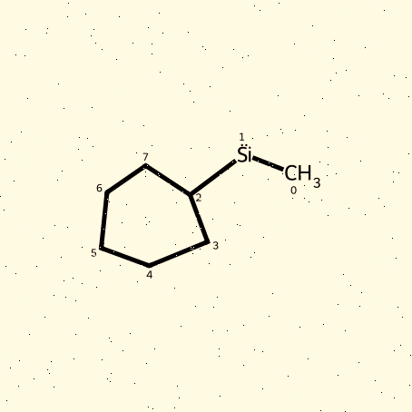 C[Si]C1CCCCC1